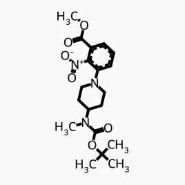 COC(=O)c1cccc(N2CCC(N(C)C(=O)OC(C)(C)C)CC2)c1[N+](=O)[O-]